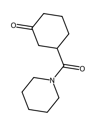 O=C1CCCC(C(=O)N2CCCCC2)C1